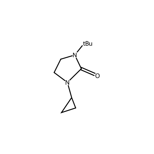 CC(C)(C)N1CCN(C2CC2)C1=O